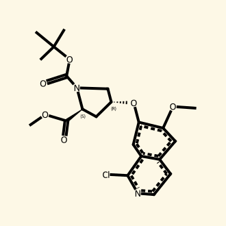 COC(=O)[C@@H]1C[C@@H](Oc2cc3c(Cl)nccc3cc2OC)CN1C(=O)OC(C)(C)C